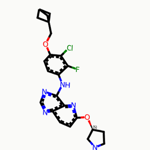 Fc1c(Nc2ncnc3ccc(O[C@H]4CCNC4)nc23)ccc(OCC23CC(C2)C3)c1Cl